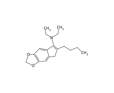 CCCCC1=C(N(CC)CC)c2cc3c(cc2C1)OCO3